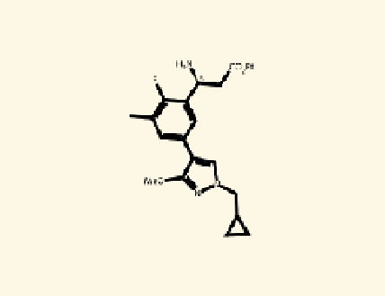 CCOC(=O)C[C@H](N)c1cc(-c2cn(CC3CC3)nc2OC)cc(C)c1F